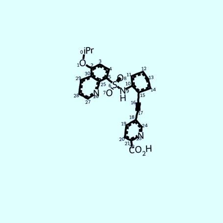 CC(C)Oc1ccc(S(=O)(=O)Nc2ccccc2C#Cc2ccc(C(=O)O)nc2)c2ncccc12